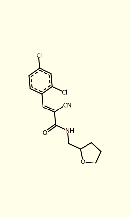 N#CC(=Cc1ccc(Cl)cc1Cl)C(=O)NCC1CCCO1